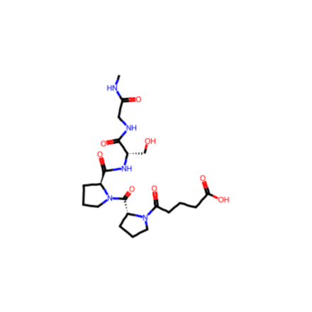 CNC(=O)CNC(=O)[C@H](CO)NC(=O)[C@@H]1CCCN1C(=O)[C@H]1CCCN1C(=O)CCCC(=O)O